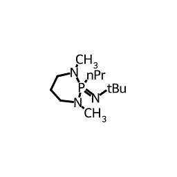 CCCP1(=NC(C)(C)C)N(C)CCCN1C